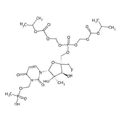 CC(C)OC(=O)OCOP(=O)(OCOC(=O)OC(C)C)OC[C@@]1(CF)O[C@@H](n2ccc(=O)n(COP(C)(=O)O)c2=O)[C@](C)(O)[C@@H]1O